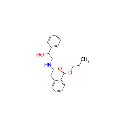 CCCOC(=O)c1ccccc1CCNCC(O)c1ccccc1